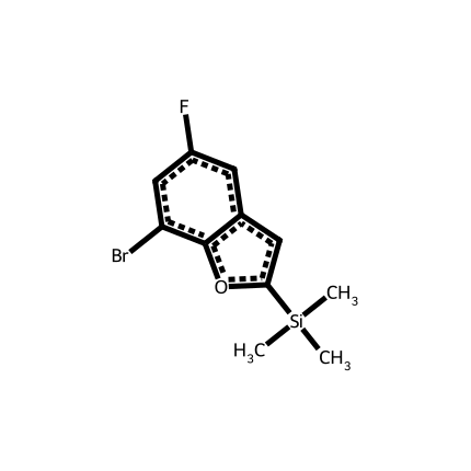 C[Si](C)(C)c1cc2cc(F)cc(Br)c2o1